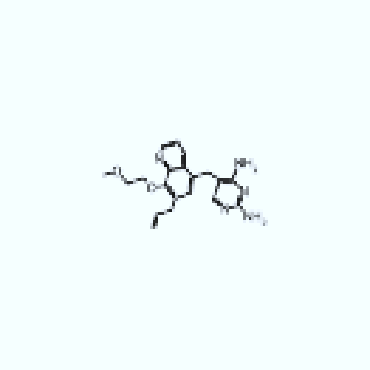 C=CCc1cc(Cc2cnc(N)nc2N)c2cccnc2c1OCCOC